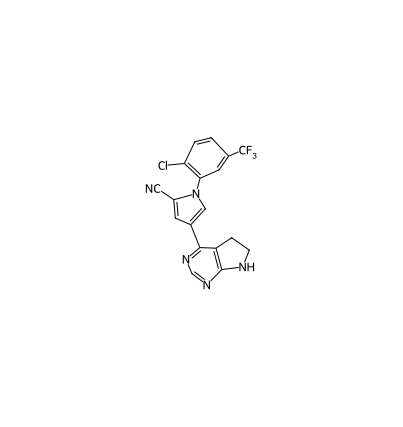 N#Cc1cc(-c2ncnc3c2CCN3)cn1-c1cc(C(F)(F)F)ccc1Cl